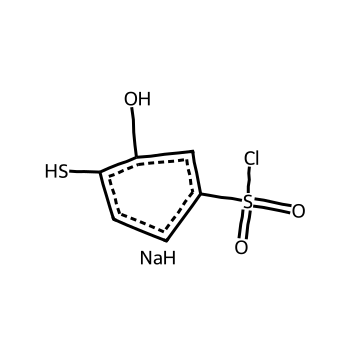 O=S(=O)(Cl)c1ccc(S)c(O)c1.[NaH]